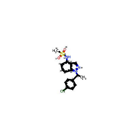 CC(c1ccc(Cl)cc1)n1ncc2c(NS(C)(=O)=O)cccc21